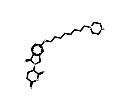 O=C1CCC(N2Cc3cc(SCCCCCCCCN4CCNCC4)ccc3C2=O)C(=O)N1